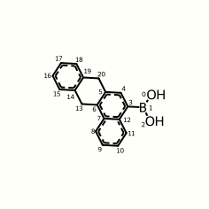 OB(O)c1cc2c(c3ccccc13)Cc1ccccc1C2